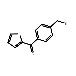 O=C(c1ccc(CBr)cc1)c1cccs1